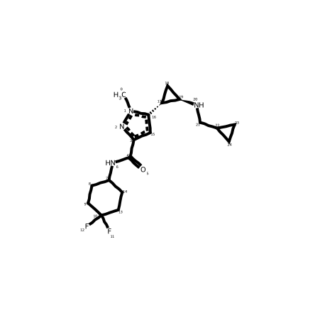 Cn1nc(C(=O)NC2CCC(F)(F)CC2)cc1[C@@H]1C[C@H]1NCC1CC1